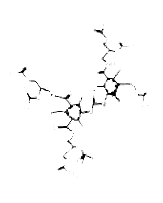 CC(=O)OCc1c(I)c(NC(=O)Nc2c(I)c(C(=O)NCC(COC(C)=O)OC(C)=O)c(I)c(C(=O)NCC(COC(C)=O)OC(C)=O)c2I)c(I)c(C(=O)NCC(COC(C)=O)OC(C)=O)c1I